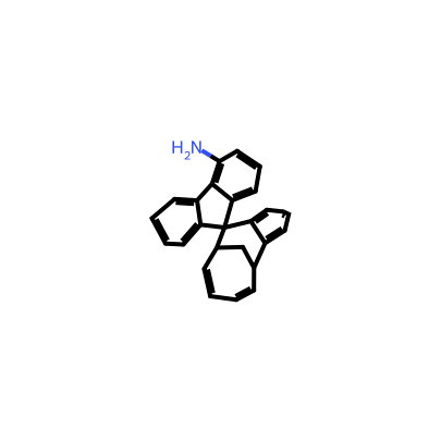 Nc1cccc2c1-c1ccccc1C21c2ccccc2C2C=CC=CC1C2